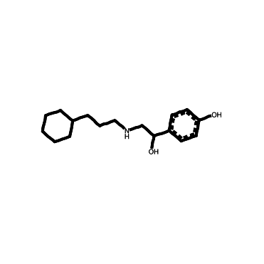 Oc1ccc(C(O)CNCCCC2CCCCC2)cc1